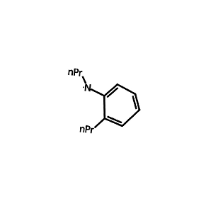 CCC[N]c1ccccc1CCC